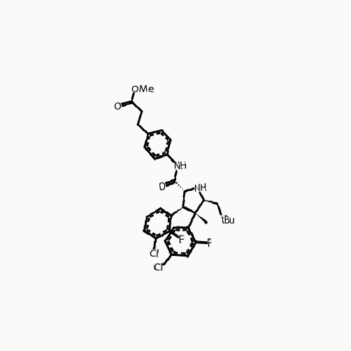 COC(=O)CCc1ccc(NC(=O)[C@@H]2N[C@@H](CC(C)(C)C)[C@](C)(c3ccc(Cl)cc3F)[C@H]2c2cccc(Cl)c2F)cc1